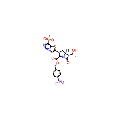 C[C@@H](O)[C@H]1C(=O)N2C(C(=O)OCc3ccc([N+](=O)[O-])cc3)=C(c3cn4cnc(S(C)(=O)=O)c4s3)C[C@H]12